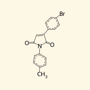 Cc1ccc(N2C(=O)C=C(c3ccc(Br)cc3)C2=O)cc1